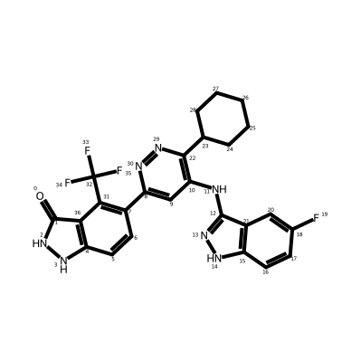 O=c1[nH][nH]c2ccc(-c3cc(Nc4n[nH]c5ccc(F)cc45)c(C4CCCCC4)nn3)c(C(F)(F)F)c12